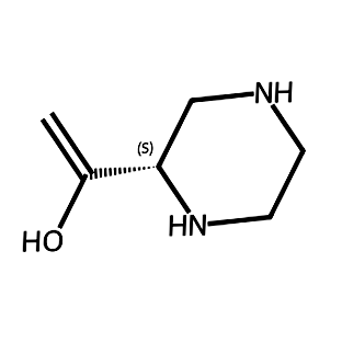 C=C(O)[C@@H]1CNCCN1